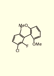 COc1cccc(OC)c1-c1c(F)ccc(Cl)c1F